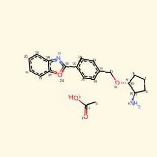 CC(=O)O.N[C@@H]1CCC[C@H]1OCc1ccc(-c2nc3ccccc3o2)cc1